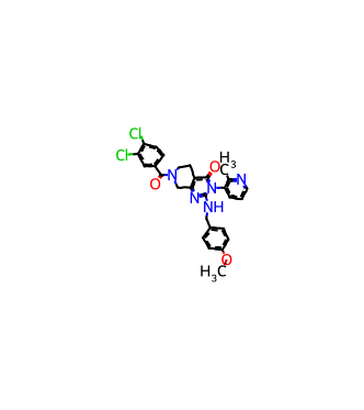 COc1ccc(CNc2nc3c(c(=O)n2-c2cccnc2C)CCN(C(=O)c2ccc(Cl)c(Cl)c2)C3)cc1